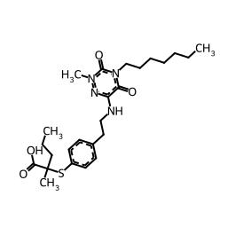 CCCCCCCn1c(=O)c(NCCc2ccc(SC(C)(CCC)C(=O)O)cc2)nn(C)c1=O